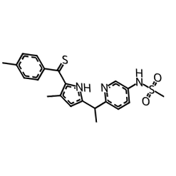 Cc1ccc(C(=S)c2[nH]c(C(C)c3ccc(NS(C)(=O)=O)cn3)cc2C)cc1